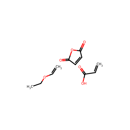 C=CC(=O)O.C=COCC.O=C1C=CC(=O)O1